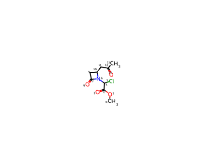 COC(=O)C(Cl)N1C(=O)C[C@H]1CC(C)=O